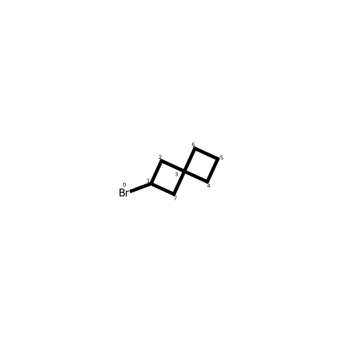 BrC1CC2(CCC2)C1